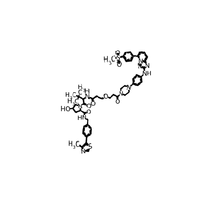 Cc1ncsc1-c1ccc(CNC(=O)C2CC(O)CN2C(=O)C(NC(=O)CCOCCC(=O)N2CCN(c3ccc(Nc4nc5cccc(-c6ccc(S(C)(=O)=O)cc6)n5n4)cc3)CC2)C(C)(C)C)cc1